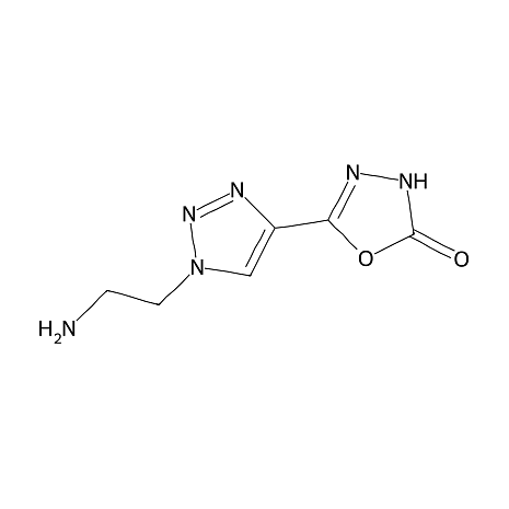 NCCn1cc(-c2n[nH]c(=O)o2)nn1